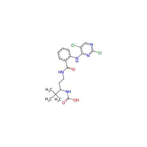 CC(C)(C)C(CCNC(=O)c1ccccc1Nc1nc(Cl)ncc1Cl)NC(=O)O